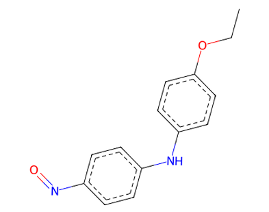 CCOc1ccc(Nc2ccc(N=O)cc2)cc1